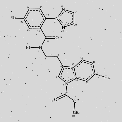 CCN(CCc1cn(C(=O)OC(C)(C)C)c2cc(F)ccc12)C(=O)c1cc(C)ccc1-n1nccn1